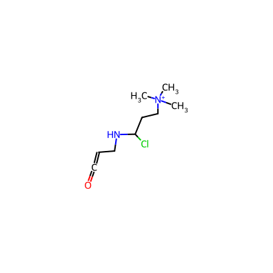 C[N+](C)(C)CCC(Cl)NCC=C=O